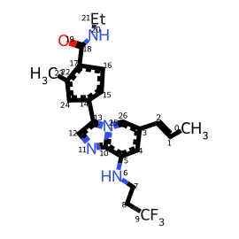 CC=Cc1cc(NCCC(F)(F)F)c2ncc(-c3ccc(C(=O)NCC)c(C)c3)n2c1